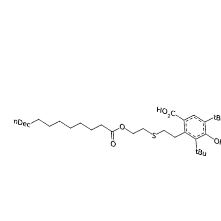 CCCCCCCCCCCCCCCCCC(=O)OCCSCCc1c(C(=O)O)cc(C(C)(C)C)c(O)c1C(C)(C)C